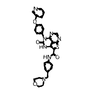 O=C(Nc1ccc(CN2CCOCC2)cc1)c1sc2ncnc3c2c1NC(=O)N3c1ccc(Oc2cccnc2)cc1